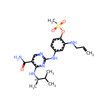 C=CCNc1cc(Nc2ncc(C(N)=O)c(N[C@H](C)C(C)C)n2)ccc1OS(C)(=O)=O